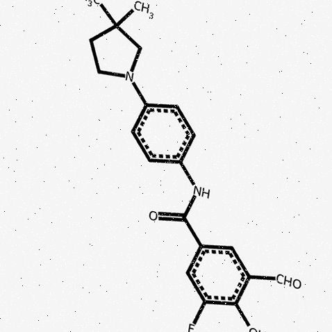 CC1(C)CCN(c2ccc(NC(=O)c3cc(F)c(O)c(C=O)c3)cc2)C1